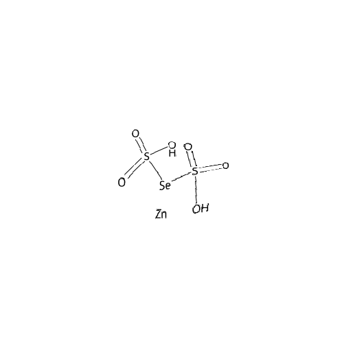 O=S(=O)(O)[Se]S(=O)(=O)O.[Zn]